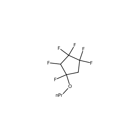 CCCOC1(F)CC(F)(F)C(F)(F)C1F